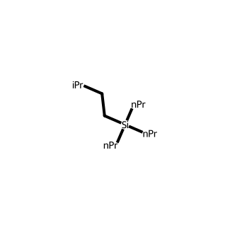 CCC[Si](CCC)(CCC)CCC(C)C